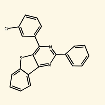 Clc1cccc(-c2nc(-c3ccccc3)nc3c2sc2ccccc23)c1